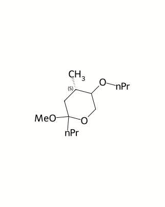 CCCOC1COC(CCC)(OC)C[C@@H]1C